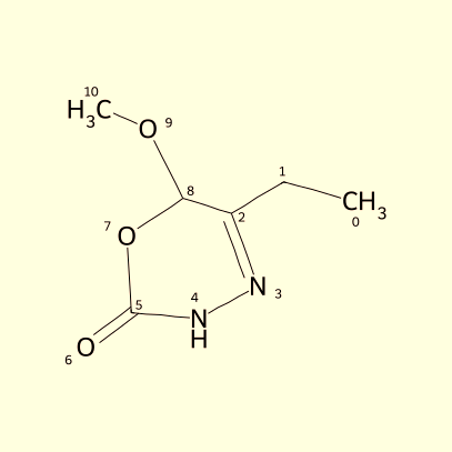 CCC1=NNC(=O)OC1OC